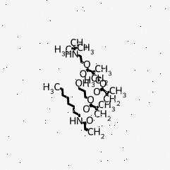 C=C(C)C(=O)OC.C=C(C)C(=O)OCCCO.C=C(C)C(=O)OCCNC(C)(C)C.C=CC(=O)NCCCCCCCC